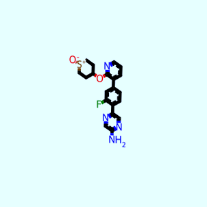 Nc1cnc(-c2ccc(-c3cccnc3OC3CC[S+]([O-])CC3)cc2F)cn1